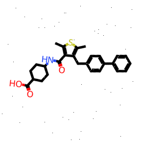 Cc1sc(C)c(C(=O)NC2CCC(C(=O)O)CC2)c1Cc1ccc(-c2ccccc2)cc1